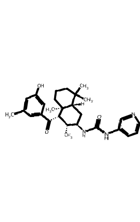 Cc1cc(O)cc(C(=O)[C@H]2[C@@H](C)[C@H](NC(=O)Nc3cccnc3)C[C@H]3C(C)(C)CCC[C@]23C)c1